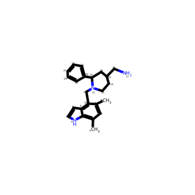 Cc1cc(C)c2[nH]ccc2c1CN1CCC(CN)CC1c1ccccc1